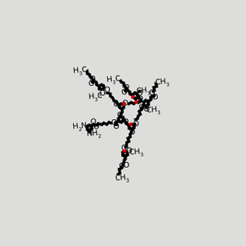 CCCCCOC(=O)/C=C/c1ccc(OCCCCCCOc2cc(COc3cc(OCc4cc(OCCCCCCOc5ccc(/C=C/C(=O)OCCCCC)cc5OC)cc(OCCCCCCOc5ccc(/C=C/C(=O)OCCCCC)cc5OC)c4)cc(C(=O)OCCCCCCOC(=O)c4cc(N)cc(N)c4)c3)cc(OCCCCCCOc3ccc(/C=C/C(=O)OCCCCC)cc3OC)c2)c(OC)c1